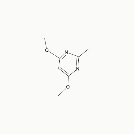 [CH2]c1nc(OC)cc(OC)n1